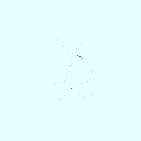 COc1ccc2c(c1)C(=O)N(C[C@@]1(C#Cc3cnccc3CO)NC(=O)NC1=O)C2